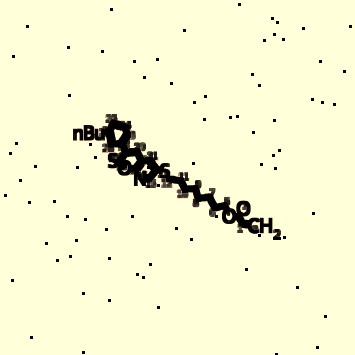 C=CC(=O)OCCCCCCCCSc1cnc2oc(=S)c(-c3cccc(CCCC)c3)cc2c1